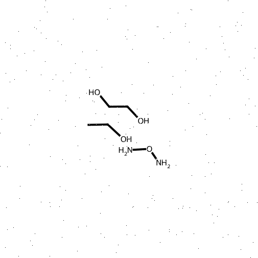 CCO.NON.OCCO